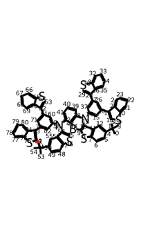 CC(C)(C)c1ccc2sc3c(c2c1)N(c1cc(-c2csc4ccccc24)cc(-c2csc4ccccc24)c1)c1cccc2c1B3c1sc3ccc(C(C)(C)C)cc3c1N2c1cc(-c2csc3ccccc23)cc(-c2csc3ccccc23)c1